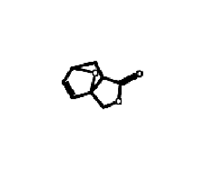 O=C1OCC23C=CC(CC12)O3